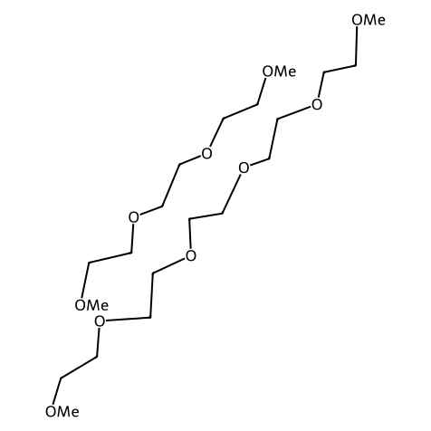 COCCOCCOCCOC.COCCOCCOCCOCCOCCOC